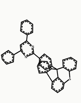 c1ccc(-c2cc(-c3ccccc3)nc(-c3ccc(C45c6ccccc6Sc6cccc(c64)-c4ccccc45)cc3)n2)cc1